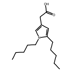 CCCCCc1cc(CC(=O)O)cn1CCCCC